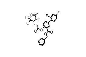 CC(=O)N[C@H](CSC(=O)Oc1ccc(-c2ccc(F)cc2F)cc1C(=O)OCc1ccccc1)C(=O)O